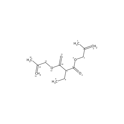 C=C(C)COC(=O)C(CC)C(=O)OCC(=C)C